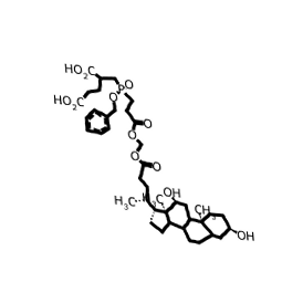 C[C@H](CCC(=O)OCOC(=O)CCP(=O)(CC(CCC(=O)O)C(=O)O)OCc1ccccc1)[C@H]1CCC2C3CCC4C[C@H](O)CC[C@]4(C)C3C[C@H](O)[C@@]21C